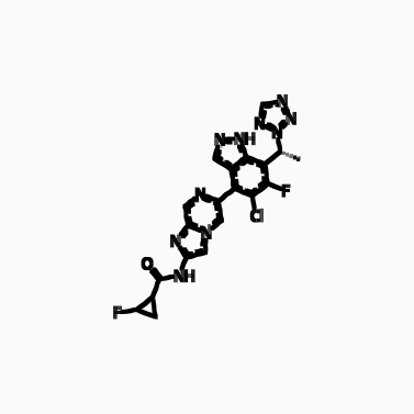 C[C@H](c1c(F)c(Cl)c(-c2cn3cc(NC(=O)C4CC4F)nc3cn2)c2cn[nH]c12)n1ncnn1